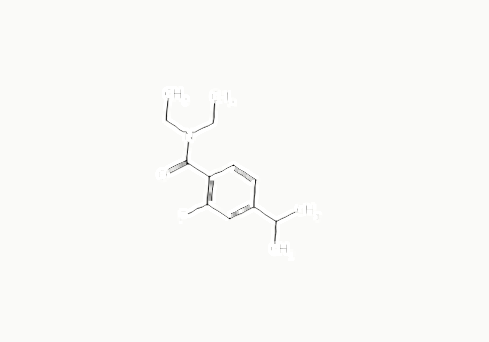 CCN(CC)C(=O)c1ccc(C(C)C)cc1F